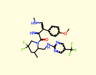 CN/C=C(\C(=N)C(=O)N1CC(F)(F)CC(C)C1CNc1ncc(C(F)(F)F)cn1)c1ccc(OC)cc1